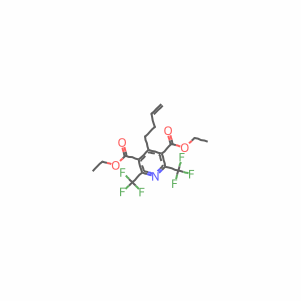 C=CCCc1c(C(=O)OCC)c(C(F)(F)F)nc(C(F)(F)F)c1C(=O)OCC